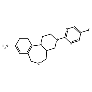 Nc1ccc2c(c1)COCC1CN(c3ncc(F)cn3)CCN21